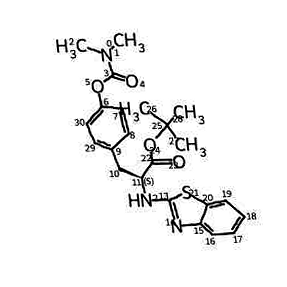 CN(C)C(=O)Oc1ccc(C[C@H](Nc2nc3ccccc3s2)C(=O)OC(C)(C)C)cc1